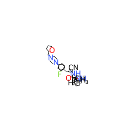 C[C@H]1[C@@H]2CC[C@H]1N[C@@H]2C(=O)N[C@H](C#N)Cc1ccc(N2CCN(CC3CCCO3)CC2)cc1F